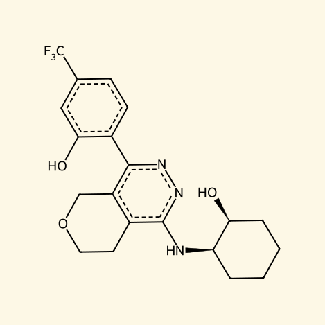 Oc1cc(C(F)(F)F)ccc1-c1nnc(N[C@@H]2CCCC[C@@H]2O)c2c1COCC2